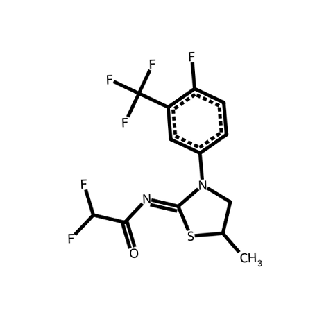 CC1CN(c2ccc(F)c(C(F)(F)F)c2)C(=NC(=O)C(F)F)S1